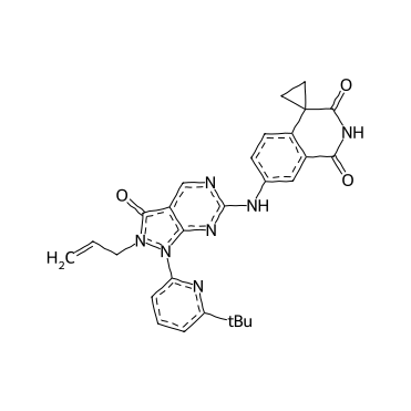 C=CCn1c(=O)c2cnc(Nc3ccc4c(c3)C(=O)NC(=O)C43CC3)nc2n1-c1cccc(C(C)(C)C)n1